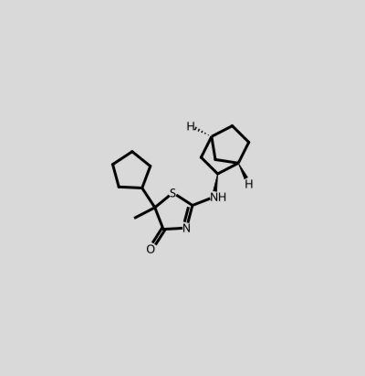 CC1(C2CCCC2)SC(N[C@H]2C[C@H]3CC[C@H]2C3)=NC1=O